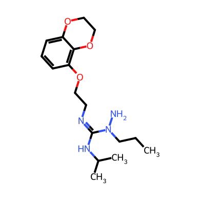 CCCN(N)C(=NCCOc1cccc2c1OCCO2)NC(C)C